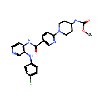 CC(C)(C)OC(=O)NC1CCN(c2ccc(C(=O)Nc3ccncc3Nc3ccc(Cl)cc3)cn2)CC1